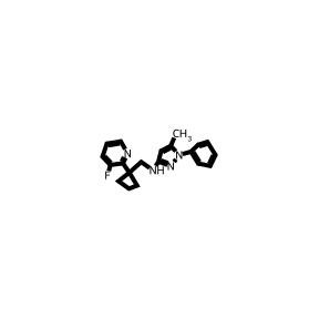 Cc1cc(NCC2(c3ncccc3F)CCC2)nn1-c1ccccc1